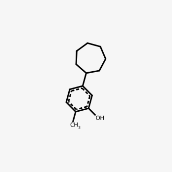 Cc1ccc(C2CCCCCC2)cc1O